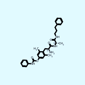 Cc1cc(OC(=O)Nc2ccccc2)cc(C)c1C[C@H](N)C(=O)N[C@@H](C)C(=O)NCCCc1ccccc1